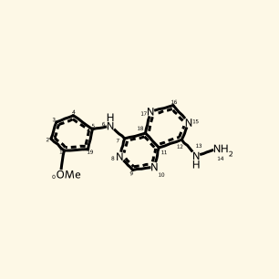 COc1cccc(Nc2ncnc3c(NN)ncnc23)c1